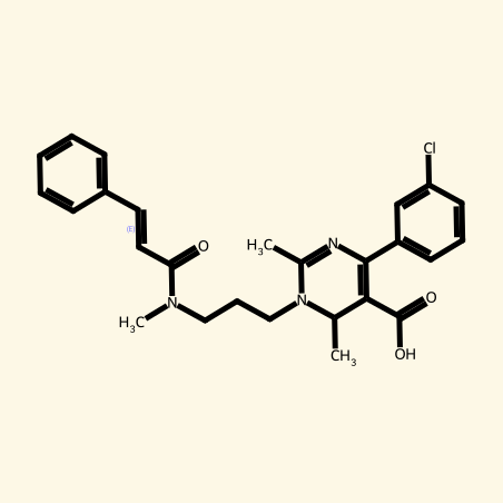 CC1=NC(c2cccc(Cl)c2)=C(C(=O)O)C(C)N1CCCN(C)C(=O)/C=C/c1ccccc1